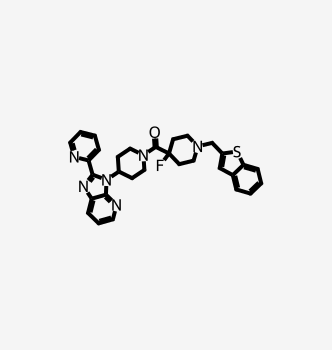 O=C(N1CCC(n2c(-c3ccccn3)nc3cccnc32)CC1)C1(F)CCN(Cc2cc3ccccc3s2)CC1